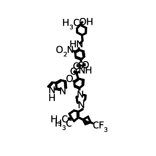 CC1(C)CCC(CN2CCN(c3ccc(C(=O)NS(=O)(=O)c4ccc(NCC5CCC(C)(O)CC5)c([N+](=O)[O-])c4)c(Oc4cnc5[nH]ccc5c4)c3)CC2)=C(C23CC(C(F)(F)F)(C2)C3)C1